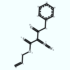 C=CCOC(=S)C(=[N+]=[N-])C(=O)Cc1ccccc1